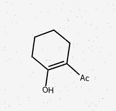 CC(=O)C1=C(O)CCCC1